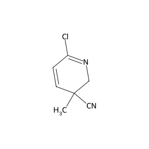 CC1(C#N)C=CC(Cl)=NC1